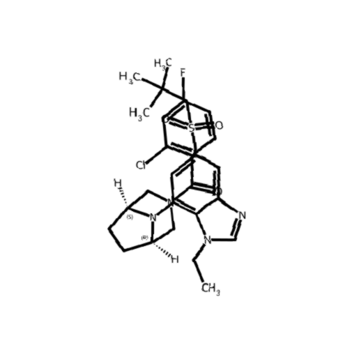 CCn1cnc2cc(S(=O)(=O)CC(C)(C)C)cc(N3[C@@H]4CC[C@H]3CN(C(=O)c3ccc(F)cc3Cl)C4)c21